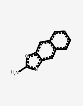 [AlH2][c]1nc2cc3ccccc3cc2o1